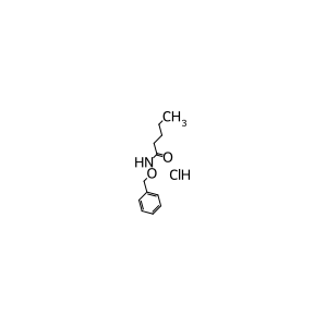 CCCCC(=O)NOCc1ccccc1.Cl